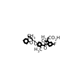 Cc1cc(OC[C@@H]2CN(C)c3ccccc3O2)ccc1C(=O)n1c(C)c(CC(=O)O)c2cc(F)ccc21